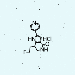 Cl.O=C1NCC(CCF)c2[nH]c(-c3ccncc3)cc21